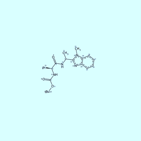 CC(NC(=O)[C@@H](NC(=O)OC(C)(C)C)C(C)C)c1nc2ccccc2n1C